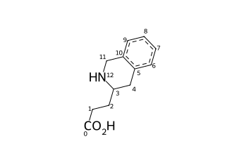 O=C(O)CCC1Cc2ccccc2CN1